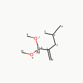 C=C(CC(C)C)[SiH](OC)OC